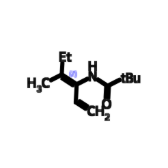 C=C/C(NC(=O)C(C)(C)C)=C(\C)CC